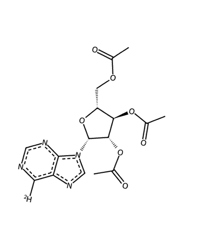 [2H]c1ncnc2c1ncn2[C@@H]1O[C@H](COC(C)=O)[C@@H](OC(C)=O)[C@@H]1OC(C)=O